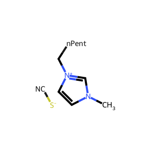 CCCCCC[n+]1ccn(C)c1.N#C[S-]